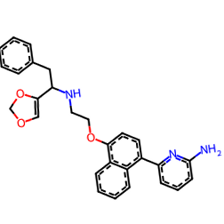 Nc1cccc(-c2ccc(OCCNC(Cc3ccccc3)C3=COCO3)c3ccccc23)n1